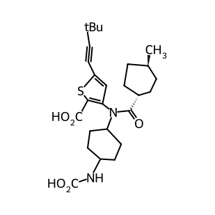 CC(C)(C)C#Cc1cc(N(C(=O)[C@H]2CC[C@H](C)CC2)C2CCC(NC(=O)O)CC2)c(C(=O)O)s1